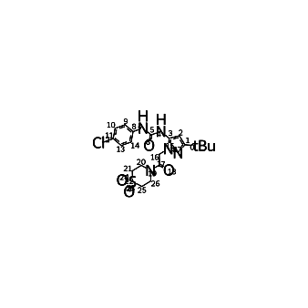 CC(C)(C)c1cc(NC(=O)Nc2ccc(Cl)cc2)n(CC(=O)N2CCS(=O)(=O)CC2)n1